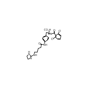 O=C(CCCCNC1=NCCN1)Nc1ccc(C[C@H](NC(=O)c2c(Cl)cccc2Cl)C(=O)O)cc1